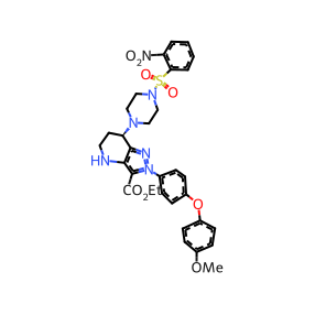 CCOC(=O)c1c2c(nn1-c1ccc(Oc3ccc(OC)cc3)cc1)[C@H](N1CCN(S(=O)(=O)c3ccccc3[N+](=O)[O-])CC1)CCN2